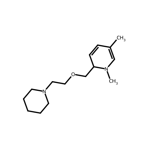 CC1=CN(C)C(COCCN2CCCCC2)C=C1